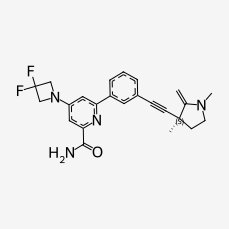 C=C1N(C)CC[C@@]1(C)C#Cc1cccc(-c2cc(N3CC(F)(F)C3)cc(C(N)=O)n2)c1